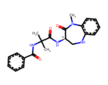 CN1C(=O)[C@H](NC(=O)C(C)(C)NC(=O)c2ccccc2)CNc2ccccc21